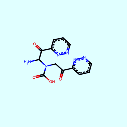 NC(C(=O)c1cccnn1)N(CC(=O)c1cccnn1)C(=O)O